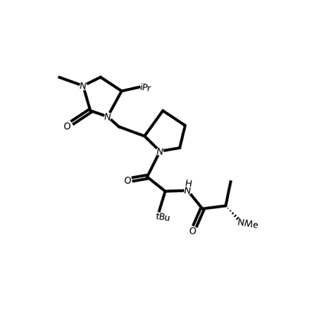 CN[C@@H](C)C(=O)NC(C(=O)N1CCCC1CN1C(=O)N(C)CC1C(C)C)C(C)(C)C